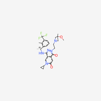 COC1(C)CN(CCn2nc(N[C@H](C)c3cccc(C(F)(F)F)c3C)c3cn(C4CC4)c(=O)cc3c2=O)C1